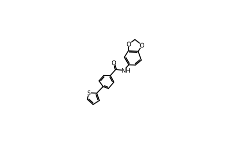 O=C(Nc1ccc2c(c1)OCO2)c1ccc(-c2cccs2)cc1